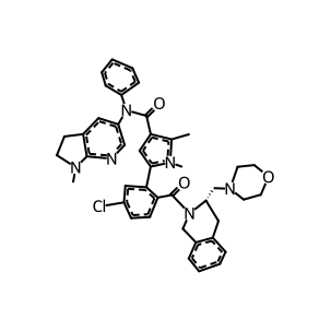 Cc1c(C(=O)N(c2ccccc2)c2cnc3c(c2)CCN3C)cc(-c2cc(Cl)ccc2C(=O)N2Cc3ccccc3C[C@H]2CN2CCOCC2)n1C